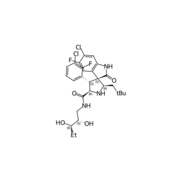 CC[C@@H](O)[C@@H](O)CNC(=O)[C@@H]1N[C@H](CC(C)(C)C)[C@]2(C(=O)Nc3cc(Cl)c(F)cc32)[C@H]1c1cccc(Cl)c1F